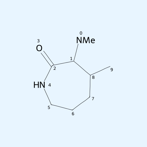 CNC1C(=O)NCCCC1C